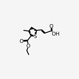 CCOC(=O)c1sc(C=CC(=O)O)cc1C